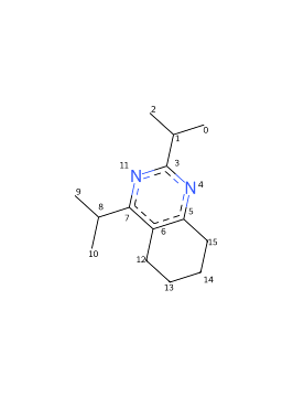 CC(C)c1nc2c(c(C(C)C)n1)CCCC2